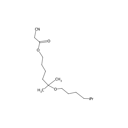 CC(C)CCCCOC(C)(C)CCCCOC(=O)CC#N